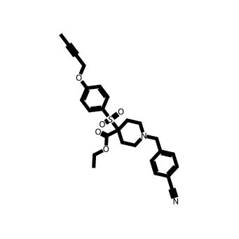 CC#CCOc1ccc(S(=O)(=O)C2(C(=O)OCC)CCN(Cc3ccc(C#N)cc3)CC2)cc1